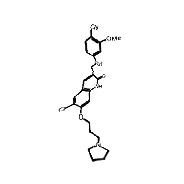 COc1cc(NCc2cc3cc(Cl)c(OCCCN4CCCC4)cc3[nH]c2=O)ccc1C#N